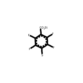 CCOC(=O)c1c(F)c(F)c([S])c(F)c1F